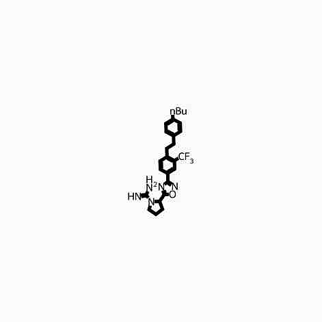 CCCCc1ccc(CCc2ccc(-c3noc(C4CCCN4C(=N)N)n3)cc2C(F)(F)F)cc1